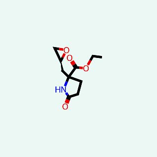 CCOC(=O)C1(C[C@H]2CO2)CCC(=O)N1